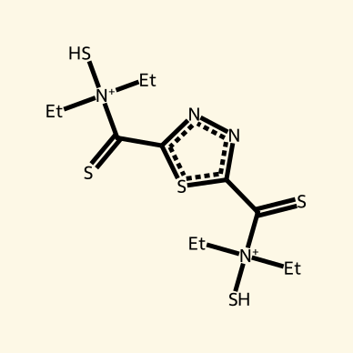 CC[N+](S)(CC)C(=S)c1nnc(C(=S)[N+](S)(CC)CC)s1